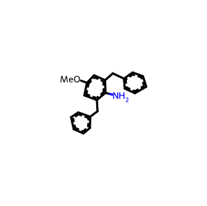 COc1cc(Cc2ccccc2)c(N)c(Cc2ccccc2)c1